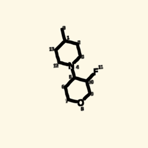 CC1CCN(C2CCOCC2F)CC1